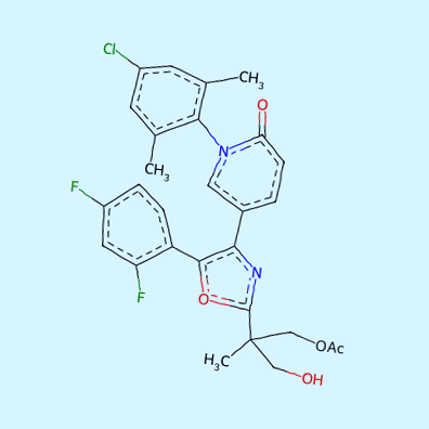 CC(=O)OCC(C)(CO)c1nc(-c2ccc(=O)n(-c3c(C)cc(Cl)cc3C)c2)c(-c2ccc(F)cc2F)o1